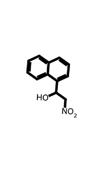 O=[N+]([O-])CC(O)c1cccc2ccccc12